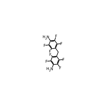 Nc1c(F)c(F)c(Cc2c(F)c(F)c(N)c(F)c2F)c(F)c1F